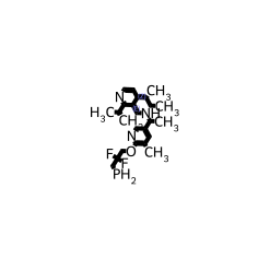 C=C(C)c1nccc(=C(\C)CC)/c1=C\NC(C)c1cnc(OCC(F)(F)CP)c(C)c1